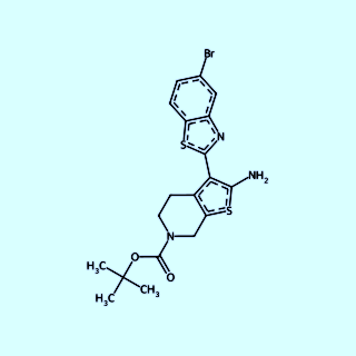 CC(C)(C)OC(=O)N1CCc2c(sc(N)c2-c2nc3cc(Br)ccc3s2)C1